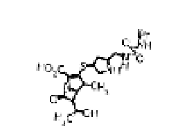 CC(C)NS(=O)(=O)NCC1CC(SC2=C(C(=O)O)N3C(=O)C(C(C)O)C3C2C)CN1